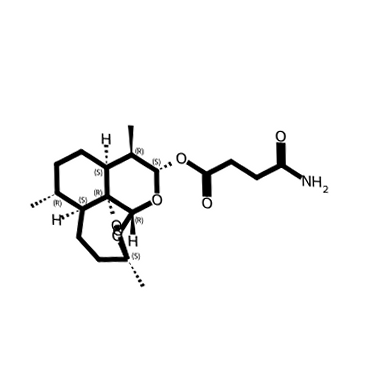 C[C@H]1[C@H](OC(=O)CCC(N)=O)O[C@@H]2O[C@]3(C)CC[C@H]4[C@H](C)CC[C@@H]1[C@@]24OO3